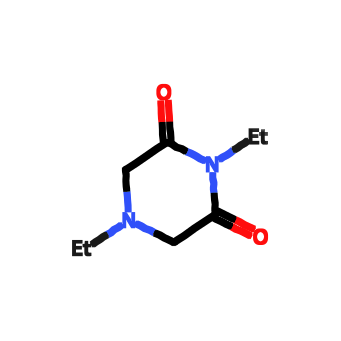 CCN1CC(=O)N(CC)C(=O)C1